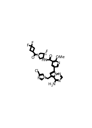 COc1ncc(-c2cc(Cn3cnc(Cl)c3)c3c(N)ncnn23)cc1C(=O)N[C@@H]1CN(C(=O)C2CC(F)(F)C2)C[C@@H]1F